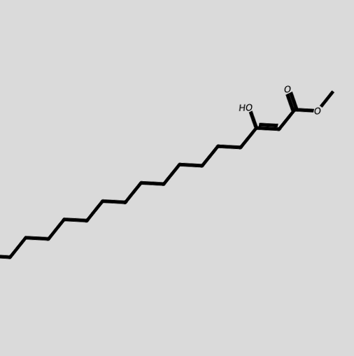 COC(=O)C=C(O)CCCCCCCCCCCCCO